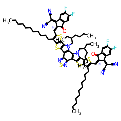 CCCCCCCCCCCc1c(/C=C2\C(=O)c3cc(F)c(F)cc3C2=C(C#N)C#N)sc2c1sc1c3c4nsnc4c4c5sc6c(CCCCCCCCCCC)c(/C=C7\C(=O)c8cc(F)c(F)cc8C7=C(C#N)C#N)sc6c5n(CC(CC)CCCC)c4c3n(CC(CC)CCCC)c21